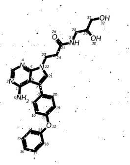 Nc1ncnc2c1c(-c1ccc(Oc3ccccc3)cc1)cn2CCC(=O)NCC(O)CO